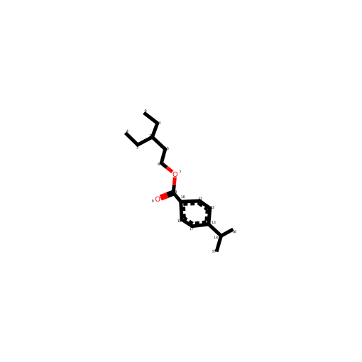 CCC(CC)CCOC(=O)c1ccc(C(C)C)cc1